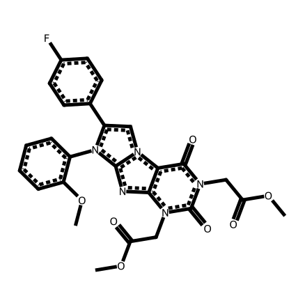 COC(=O)Cn1c(=O)c2c(nc3n(-c4ccccc4OC)c(-c4ccc(F)cc4)cn23)n(CC(=O)OC)c1=O